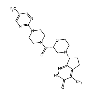 O=C([C@H]1CN([C@@H]2CCc3c2n[nH]c(=O)c3C(F)(F)F)CCO1)N1CCN(c2ncc(C(F)(F)F)cn2)CC1